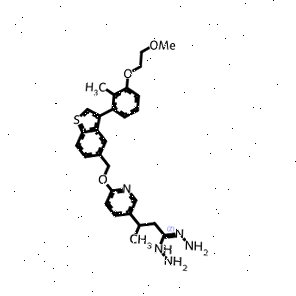 COCCOc1cccc(-c2csc3ccc(COc4ccc(C(C)C/C(=N/N)NN)cn4)cc23)c1C